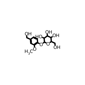 COc1cc(CO)ccc1OC1OC(CO)C(O)C(O)C1O